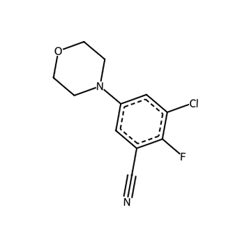 N#Cc1cc(N2CCOCC2)cc(Cl)c1F